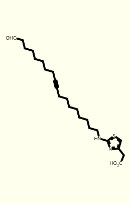 O=CCCCCCCCC#CCCCCCCCCNc1nc(CC(=O)O)cs1